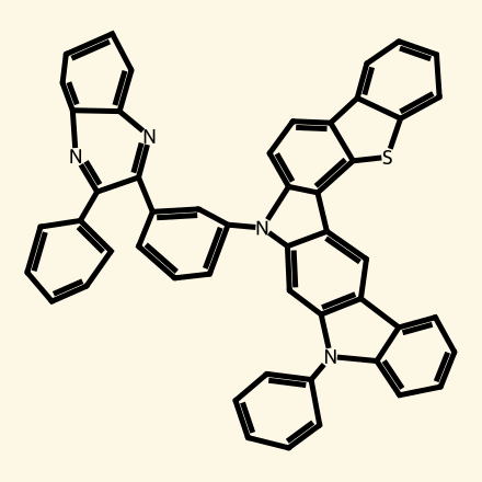 c1ccc(-c2nc3ccccc3nc2-c2cccc(-n3c4cc5c(cc4c4c6sc7ccccc7c6ccc43)c3ccccc3n5-c3ccccc3)c2)cc1